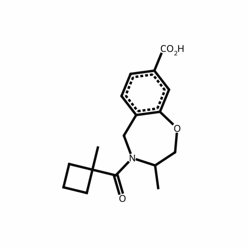 CC1COc2cc(C(=O)O)ccc2CN1C(=O)C1(C)CCC1